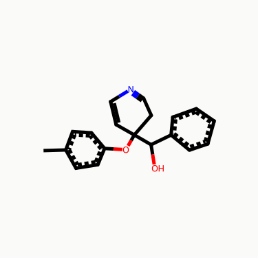 Cc1ccc(OC2(C(O)c3ccccc3)C=CN=CC2)cc1